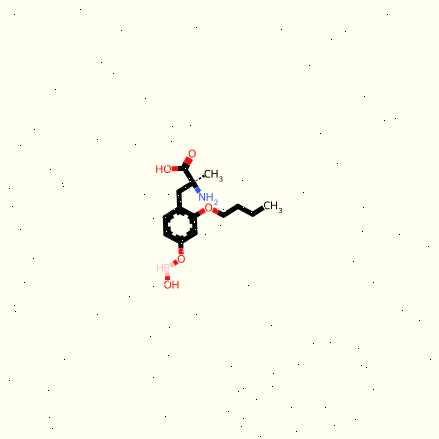 CCCCOc1cc(OBO)ccc1C[C@](C)(N)C(=O)O